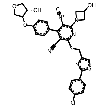 [C-]#[N+]c1c(N2CC(O)C2)nc(SCc2csc(-c3ccc(Cl)cc3)n2)c(C#N)c1-c1ccc(O[C@H]2COC[C@@H]2O)cc1